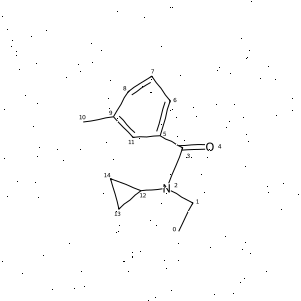 CCN(C(=O)c1cccc(C)c1)C1CC1